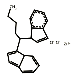 CCCCC(C1=CC=C2C=CC=CC21)C1C=Cc2ccccc21.[Cl-].[Cl-].[Zr+2]